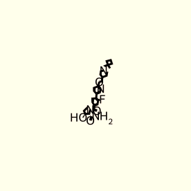 CC1(CN2CCC(COc3ccc(-c4ccc(C(=O)N5CC[C@H](O)[C@H]5C(N)=O)cc4F)cn3)CC2)CCC1